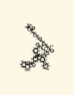 CN(CCN1CCC[C@H]1C(=O)N(C)CCOCCOCCOCCC(=O)OC(C)(C)C)C(=O)c1cccc(C(=O)Nc2ccc(N3CCCCC3)cc2-c2cc(C(=O)N[C@H]3CCCc4ccccc43)ccn2)c1